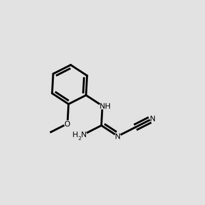 COc1ccccc1N/C(N)=N\C#N